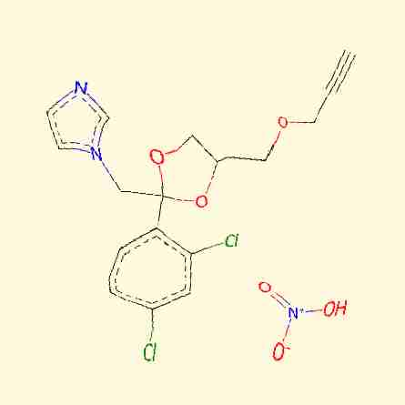 C#CCOCC1COC(Cn2ccnc2)(c2ccc(Cl)cc2Cl)O1.O=[N+]([O-])O